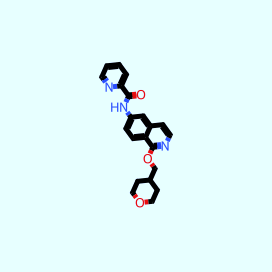 O=C(Nc1ccc2c(OCC3CCOCC3)nccc2c1)c1ccccn1